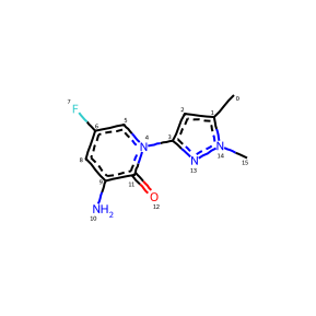 Cc1cc(-n2cc(F)cc(N)c2=O)nn1C